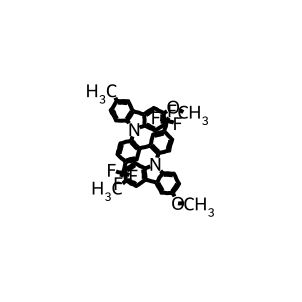 COc1ccc2c(c1)c1cc(C)ccc1n2-c1ccc(C(F)(F)F)cc1-c1cc(C(F)(F)F)ccc1-n1c2ccc(C)cc2c2cc(OC)ccc21